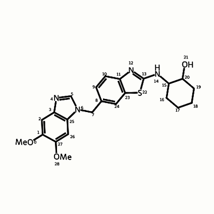 COc1cc2ncn(Cc3ccc4nc(NC5CCCCC5O)sc4c3)c2cc1OC